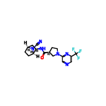 N#CN1[C@H]2CC[C@@H]1[C@H](NC(=O)[C@H]1CCN(c3cncc(C(F)(F)F)n3)C1)C2